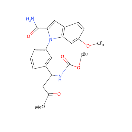 COC(=O)CC(NC(=O)OC(C)(C)C)c1cccc(-n2c(C(N)=O)cc3ccc(OC(F)(F)F)cc32)c1